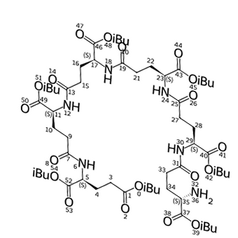 CC(C)COC(=O)CC[C@H](NC(=O)CC[C@H](NC(=O)CC[C@H](NC(=O)CC[C@H](NC(=O)CC[C@H](NC(=O)CC[C@H](N)C(=O)OCC(C)C)C(=O)OCC(C)C)C(=O)OCC(C)C)C(=O)OCC(C)C)C(=O)OCC(C)C)C(=O)OCC(C)C